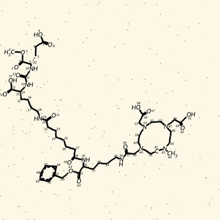 COC(=O)[C@H](CCC(=O)O)NC(=O)N[C@@H](CCCCNC(=O)CCCCCCC(=O)NC(CCCCNC(=O)CN1CCN(C)CCN(CC(=O)O)CCN(CC(=O)O)CC1)C(=O)OCc1ccccc1)C(=O)O